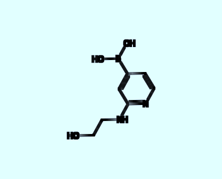 OCCNc1cc(B(O)O)ccn1